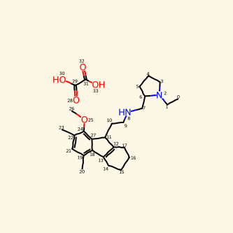 CCN1CCCC1CNCCC1C2=C(CCCC2)c2c(C)cc(C)c(OC)c21.O=C(O)C(=O)O